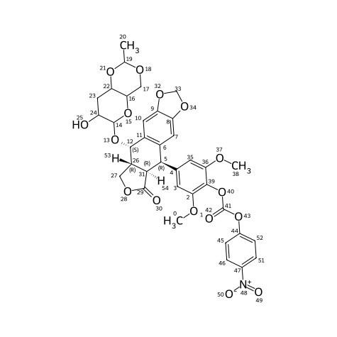 COc1cc([C@@H]2c3cc4c(cc3[C@@H](OC3OC5COC(C)OC5CC3O)[C@H]3COC(=O)[C@H]23)OCO4)cc(OC)c1OC(=O)Oc1ccc([N+](=O)[O-])cc1